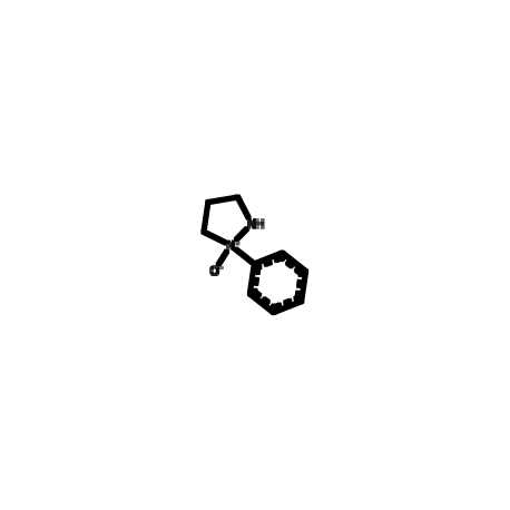 [O-][N+]1(c2ccccc2)CCCN1